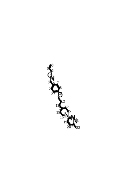 C=CCON=Cc1ccc(OCCCC2CCN(c3ccc(C)nn3)CC2)cc1